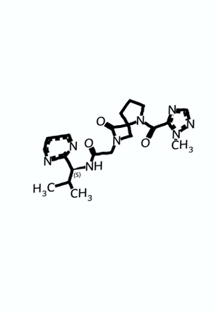 CC(C)[C@H](NC(=O)CN1CC2(CCCN2C(=O)c2ncnn2C)C1=O)c1ncccn1